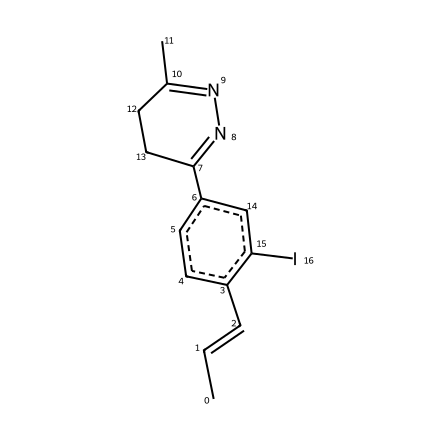 CC=Cc1ccc(C2=NN=C(C)CC2)cc1I